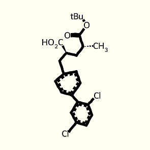 C[C@H](C[C@@H](Cc1ccc(-c2cc(Cl)ccc2Cl)cc1)C(=O)O)C(=O)OC(C)(C)C